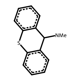 CNC1c2ccccc2Sc2ccccc21